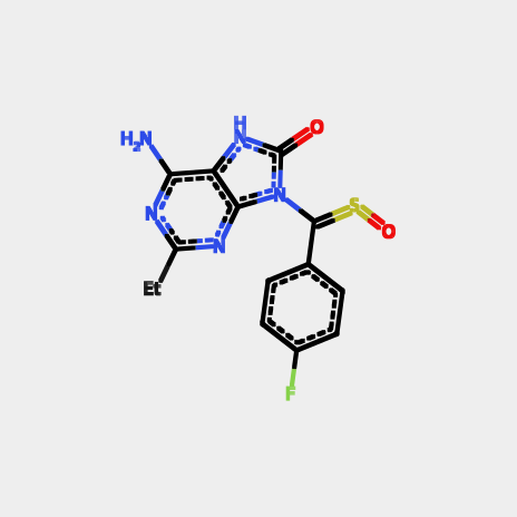 CCc1nc(N)c2[nH]c(=O)n(C(=S=O)c3ccc(F)cc3)c2n1